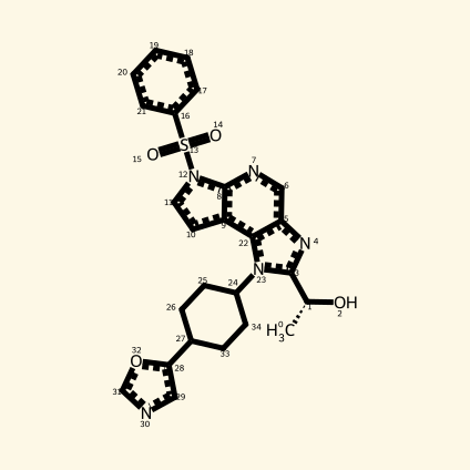 C[C@@H](O)c1nc2cnc3c(ccn3S(=O)(=O)c3ccccc3)c2n1C1CCC(c2cnco2)CC1